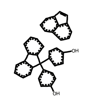 C1=Cc2cccc3cccc1c23.Oc1ccc(C2(c3ccc(O)cc3)c3ccccc3-c3ccccc32)cc1